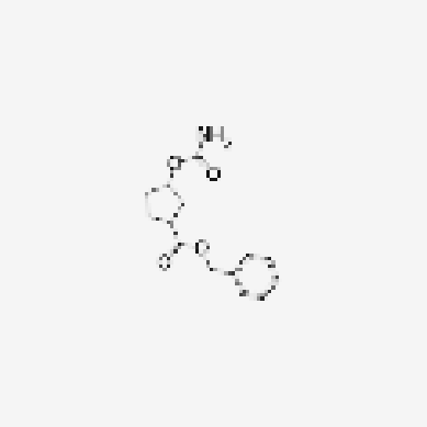 NC(=O)OC1CCC(C(=O)OCc2ccccc2)C1